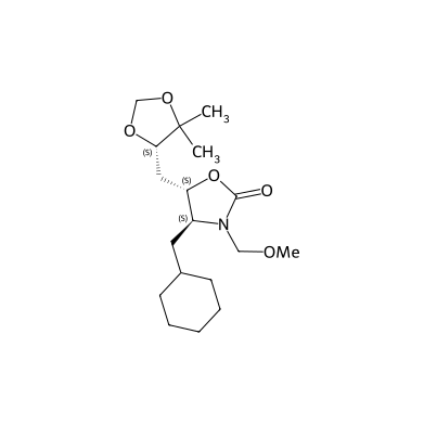 COCN1C(=O)O[C@@H](C[C@@H]2OCOC2(C)C)[C@@H]1CC1CCCCC1